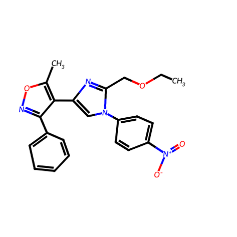 CCOCc1nc(-c2c(-c3ccccc3)noc2C)cn1-c1ccc([N+](=O)[O-])cc1